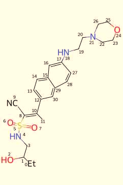 CCC(O)CNS(=O)(=O)/C(C#N)=C(\C)c1ccc2cc(NCCN3CCOCC3)ccc2c1